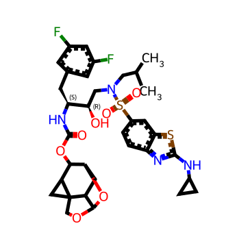 CC(C)CN(C[C@@H](O)[C@H](Cc1cc(F)cc(F)c1)NC(=O)OC1C2CC3C(OCC34CC14)O2)S(=O)(=O)c1ccc2nc(NC3CC3)sc2c1